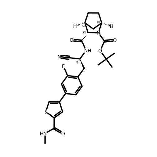 CNC(=O)c1cc(-c2ccc(C[C@@H](C#N)NC(=O)[C@@H]3[C@H]4CC[C@H](C4)N3C(=O)OC(C)(C)C)c(F)c2)cs1